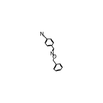 N#Cc1ccc(C=NOCc2ccccc2)cc1